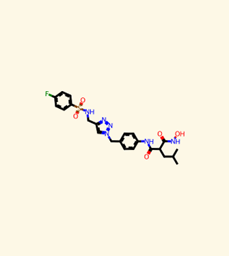 CC(C)CC(C(=O)NO)C(=O)Nc1ccc(Cn2cc(CNS(=O)(=O)c3ccc(F)cc3)nn2)cc1